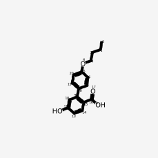 CCCCOc1ccc(-c2cc(O)ccc2C(=O)O)cc1